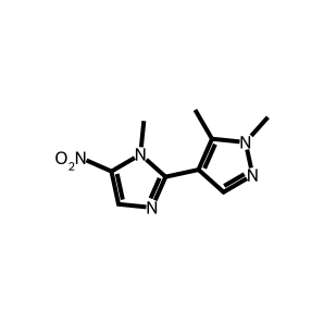 Cc1c(-c2ncc([N+](=O)[O-])n2C)cnn1C